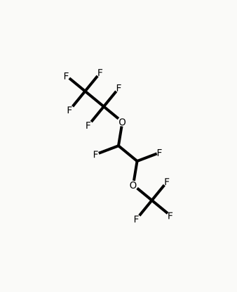 FC(OC(F)(F)F)C(F)OC(F)(F)C(F)(F)F